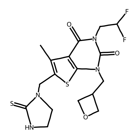 Cc1c(CN2CCNC2=S)sc2c1c(=O)n(CC(F)F)c(=O)n2CC1COC1